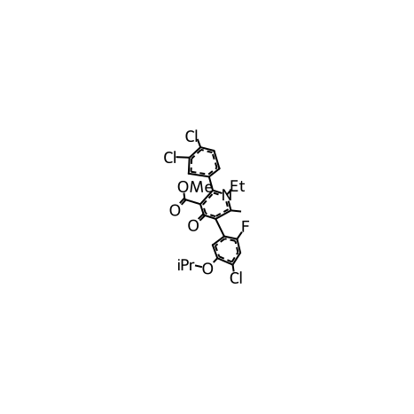 CCn1c(C)c(-c2cc(OC(C)C)c(Cl)cc2F)c(=O)c(C(=O)OC)c1-c1ccc(Cl)c(Cl)c1